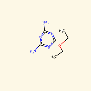 CCOCC.Nc1ncnc(N)n1